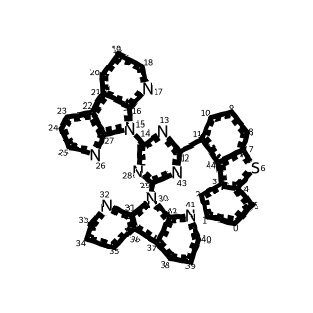 c1ccc2c(c1)sc1cccc(-c3nc(-n4c5ncccc5c5cccnc54)nc(-n4c5ncccc5c5cccnc54)n3)c12